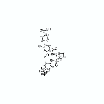 COc1cc(F)c(-c2ccc(C(=O)O)cc2)cc1C(=O)NC1C2CCC(C2)C1C(=O)Nc1ccc(S(F)(F)(F)(F)F)cc1